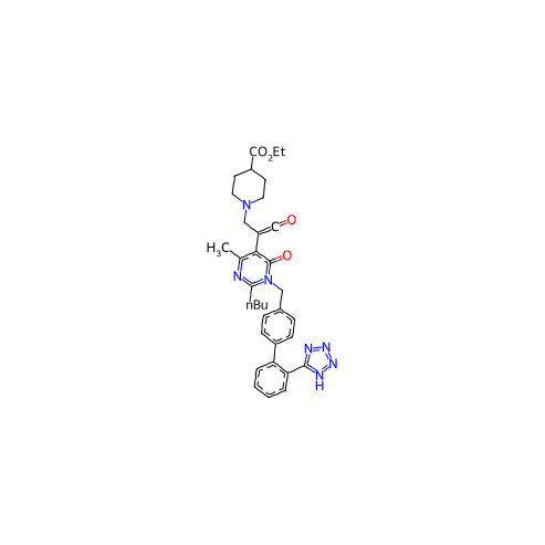 CCCCc1nc(C)c(C(=C=O)CN2CCC(C(=O)OCC)CC2)c(=O)n1Cc1ccc(-c2ccccc2-c2nnn[nH]2)cc1